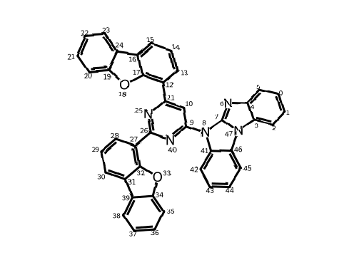 c1ccc2c(c1)nc1n(-c3cc(-c4cccc5c4oc4ccccc45)nc(-c4cccc5c4oc4ccccc45)n3)c3ccccc3n21